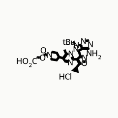 Cc1nc(-c2c(-c3nn(C(C)(C)C)c4ncnc(N)c34)noc2C2CC2)ncc1C1CCN(C(=O)OCC(=O)O)CC1.Cl